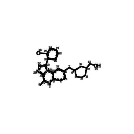 Cc1nc2ccc(CN3CCCC(CO)C3)cc2n2c(-c3ccccc3Cl)nnc12